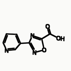 O=C(O)c1nc(-c2cccnc2)no1